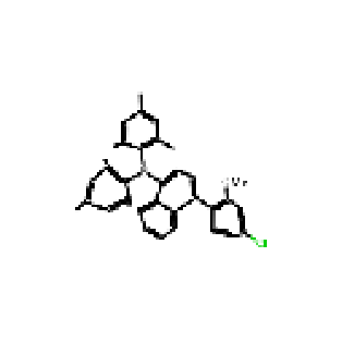 COc1cc(Cl)ccc1-c1ccc(B(c2c(C)cc(C)cc2C)c2c(C)cc(C)cc2C)c2ccccc12